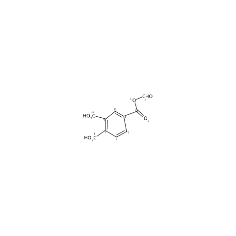 O=COC(=O)c1ccc(C(=O)O)c(C(=O)O)c1